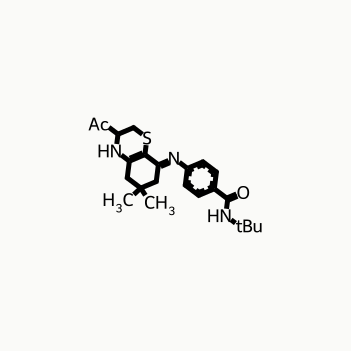 CC(=O)C1CSC2=C(CC(C)(C)C/C2=N\c2ccc(C(=O)NC(C)(C)C)cc2)N1